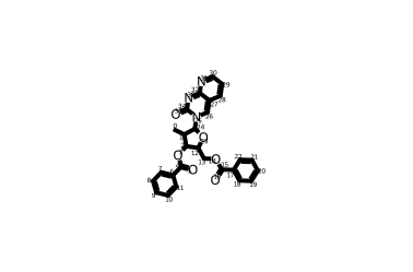 CC1C(OC(=O)c2ccccc2)C(COC(=O)c2ccccc2)OC1n1cc2cccnc2nc1=O